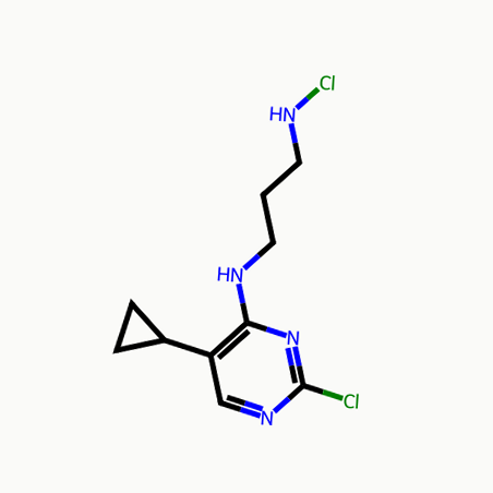 ClNCCCNc1nc(Cl)ncc1C1CC1